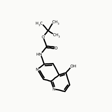 CC(C)(C)OC(=O)Nc1cc2c(O)ccnc2cn1